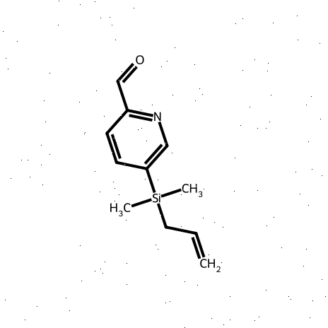 C=CC[Si](C)(C)c1ccc(C=O)nc1